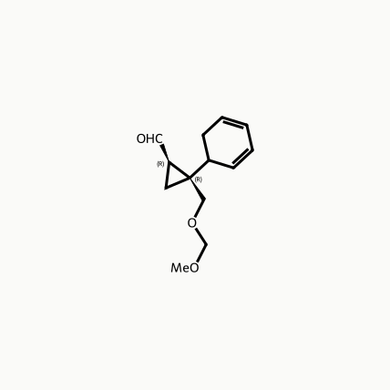 COCOC[C@@]1(C2C=CC=CC2)C[C@H]1C=O